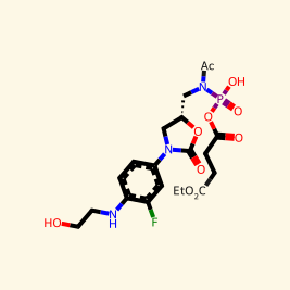 CCOC(=O)CCC(=O)OP(=O)(O)N(C[C@H]1CN(c2ccc(NCCO)c(F)c2)C(=O)O1)C(C)=O